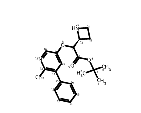 CC(C)(C)OC(=O)C(Oc1cnc(Cl)c(-c2ccccc2)c1)[C@@H]1CCN1